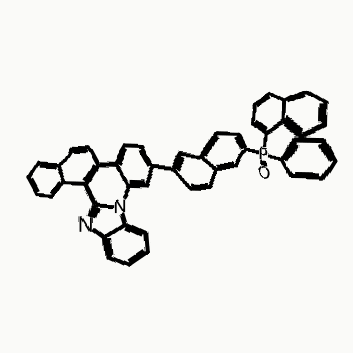 O=P(c1ccccc1)(c1ccc2cc(-c3ccc4c5ccc6ccccc6c5c5nc6ccccc6n5c4c3)ccc2c1)c1cccc2ccccc12